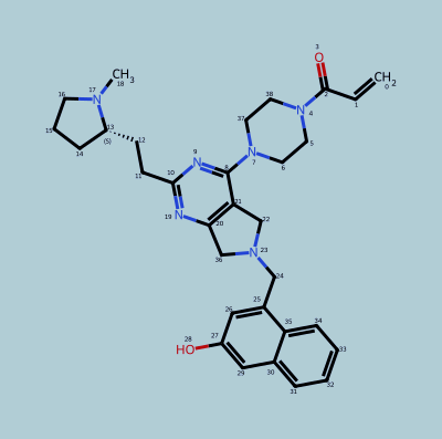 C=CC(=O)N1CCN(c2nc(CC[C@@H]3CCCN3C)nc3c2CN(Cc2cc(O)cc4ccccc24)C3)CC1